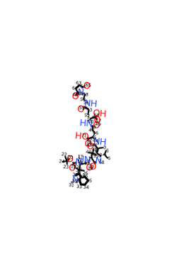 C/C(=C\[C@H](C(C)C)N(C)C(=O)[C@@H](NC(=O)[C@@H](N(C)C(=O)OC(C)(C)C)C(C)(C)c1cn(C)c2ccccc12)C(C)(C)C)C(=O)N[C@H](CCC(=O)N[C@H](CCC(=O)NCCN1C(=O)C=CC1=O)C(=O)O)C(=O)O